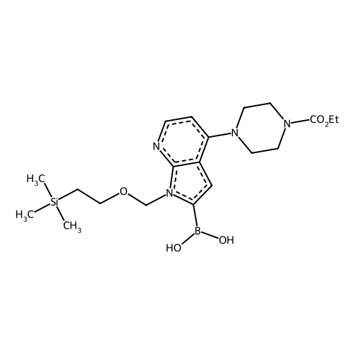 CCOC(=O)N1CCN(c2ccnc3c2cc(B(O)O)n3COCC[Si](C)(C)C)CC1